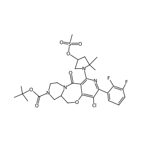 CC(C)(C)OC(=O)N1CCN2C(=O)c3c(N4CC(OS(C)(=O)=O)CC4(C)C)nc(-c4cccc(F)c4F)c(Cl)c3OCC2C1